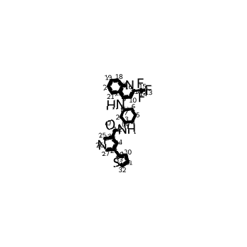 O=C(N[C@@H]1CCC[C@H](Nc2cc(C(F)(F)F)nc3ccccc23)C1)c1cncc(-c2cccs2)c1